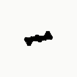 O=C(/C=C/C(=O)OCCCN1CCN(c2cc(N3CCCC3)nc(N3CCCC3)n2)CC1)OCCCN1CCN(c2cc(N3CCCC3)nc(N3CCCC3)n2)CC1